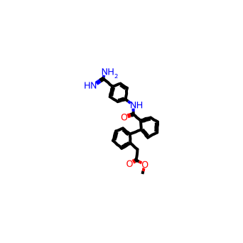 COC(=O)Cc1ccccc1-c1ccccc1C(=O)Nc1ccc(C(=N)N)cc1